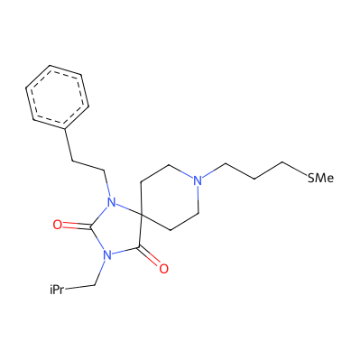 CSCCCN1CCC2(CC1)C(=O)N(CC(C)C)C(=O)N2CCc1ccccc1